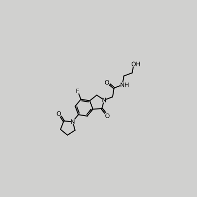 O=C(CN1Cc2c(F)cc(N3CCCC3=O)cc2C1=O)NCCO